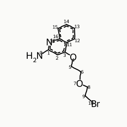 Nc1cc(OCCOCCBr)c2ccccc2n1